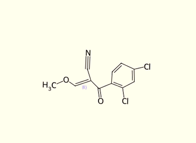 CO/C=C(\C#N)C(=O)c1ccc(Cl)cc1Cl